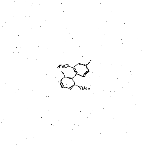 COc1cc(C)ccc1-c1c(C)[c]ccc1OC